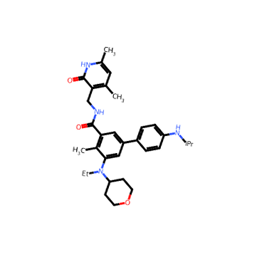 CCN(c1cc(-c2ccc(NC(C)C)cc2)cc(C(=O)NCc2c(C)cc(C)[nH]c2=O)c1C)C1CCOCC1